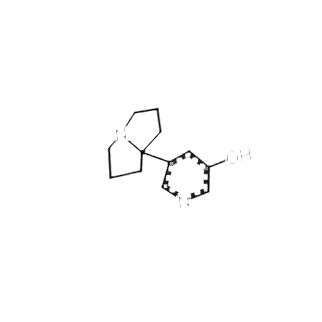 Oc1cncc(C23CCCN2CCC3)c1